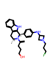 C=C(CCCO)N1[C@H](c2ccc(NC3CN(CCCF)C3)cc2)c2[nH]c3ccccc3c2C[C@H]1C